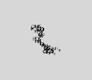 CN(C)c1c(C=O)cccc1-c1ccc(C(O)CNC2CCN(c3cc(C(F)(F)F)c4c(N)c(C(N)=O)sc4n3)CC2)nc1